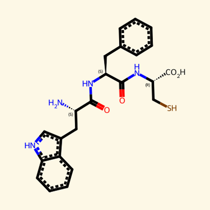 N[C@@H](Cc1c[nH]c2ccccc12)C(=O)N[C@@H](Cc1ccccc1)C(=O)N[C@@H](CS)C(=O)O